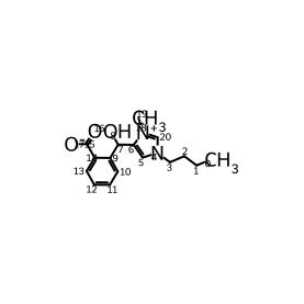 CCCCn1cc(C(O)c2ccccc2C(=O)[O-])[n+](C)c1